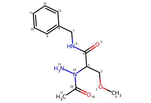 COCC(C(=O)NCc1ccccc1)N(N)C(C)=O